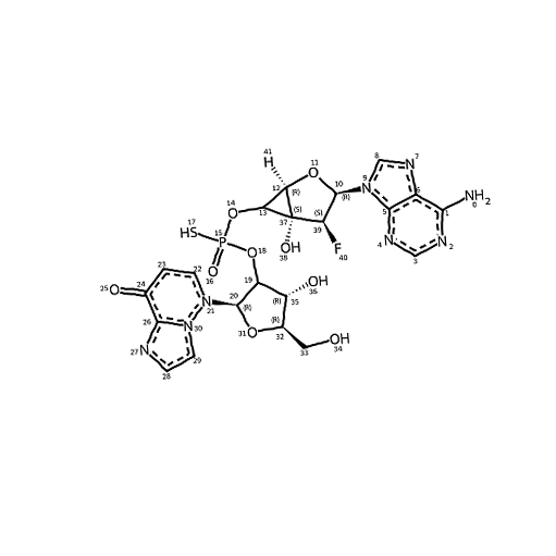 Nc1ncnc2c1ncn2[C@@H]1O[C@@H]2C(OP(=O)(S)OC3[C@H](n4ccc(=O)c5nccn54)O[C@H](CO)[C@H]3O)[C@]2(O)[C@@H]1F